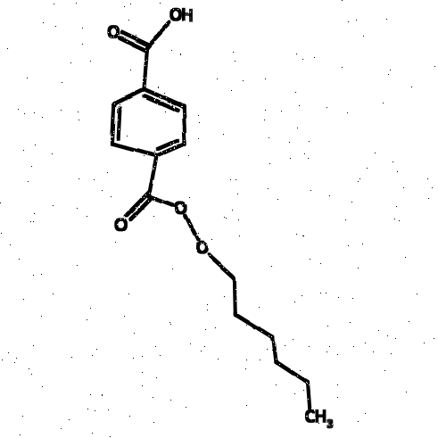 CCCCCCOOC(=O)c1ccc(C(=O)O)cc1